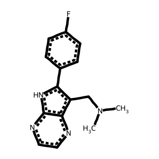 CN(C)Cc1c(-c2ccc(F)cc2)[nH]c2nccnc12